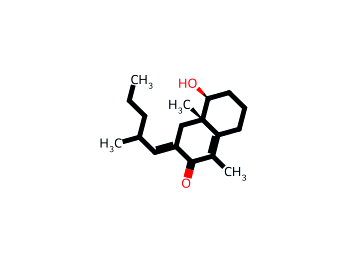 CCCC(C)C=C1C[C@@]2(C)C(=C(C)C1=O)CCC[C@@H]2O